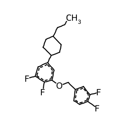 CCCC1CCC(c2cc(F)c(F)c(OCc3ccc(F)c(F)c3)c2)CC1